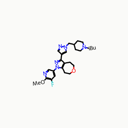 CCC(C)N1CCC(Cn2cc(-c3nn(-c4cnc(OC)c(F)c4)c4c3CCOCC4)cn2)CC1